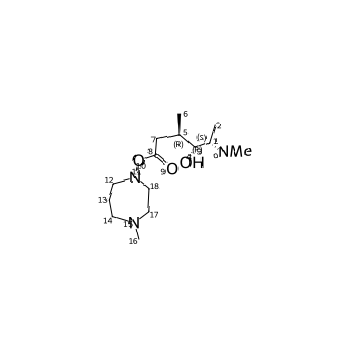 CN[C@@H](C)[C@H](O)[C@H](C)CC(=O)ON1CCCN(C)CC1